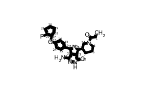 C=CC(=O)N1CCCC(C2N=C(c3ccc(Oc4ccccc4F)cc3)c3c(N)n[nH]c(=O)c32)C1